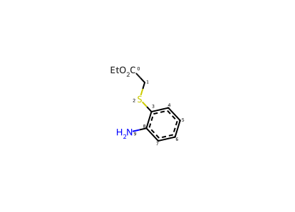 CCOC(=O)CSc1ccccc1N